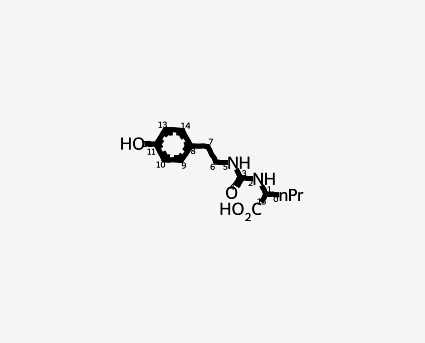 CCCC(NC(=O)NCCc1ccc(O)cc1)C(=O)O